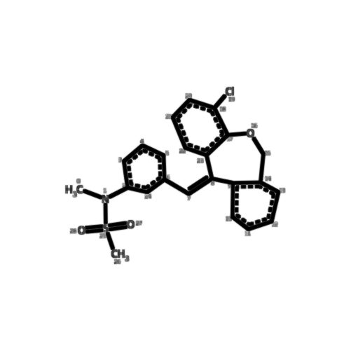 CN(c1cccc(/C=C2/c3ccccc3COc3c(Cl)cccc32)c1)S(C)(=O)=O